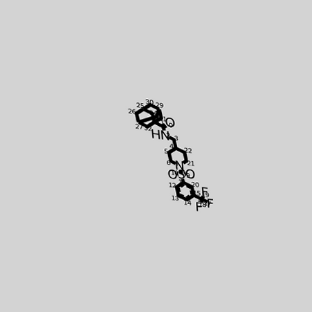 O=C(NCC1CCN(S(=O)(=O)c2cccc(C(F)(F)F)c2)CC1)C12CC3CC(CC(C3)C1)C2